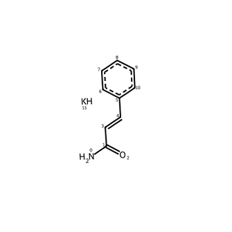 NC(=O)C=Cc1ccccc1.[KH]